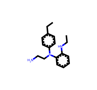 CCNc1ccccc1N(CCN)c1ccc(CC)cc1